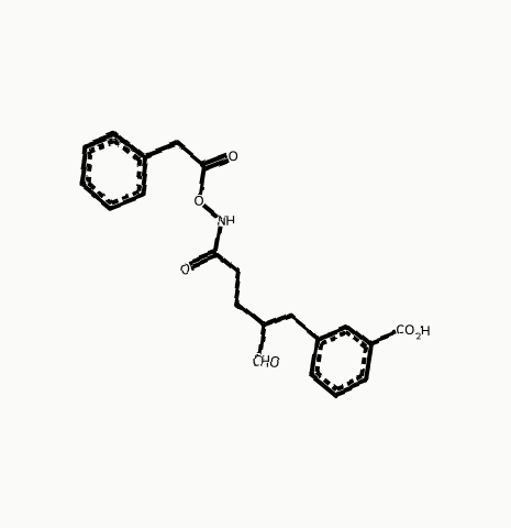 O=CC(CCC(=O)NOC(=O)Cc1ccccc1)Cc1cccc(C(=O)O)c1